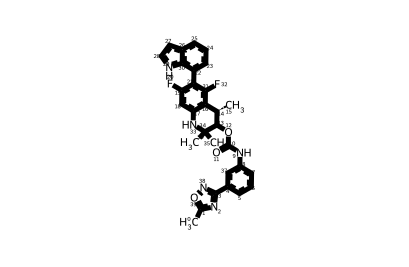 Cc1nc(-c2cccc(NC(=O)OC3[C@@H](C)c4c(cc(F)c(-c5cccc6cc[nH]c56)c4F)NC3(C)C)c2)no1